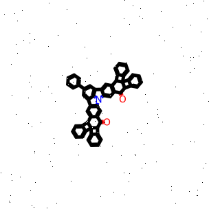 O=C1c2cc3c(cc2C2c4ccccc4C24c2ccccc2C14)c1cc(-c2ccccc2)cc2c4cc5c(cc4n3c12)C(=O)C1c2ccccc2C12c1ccccc1C52